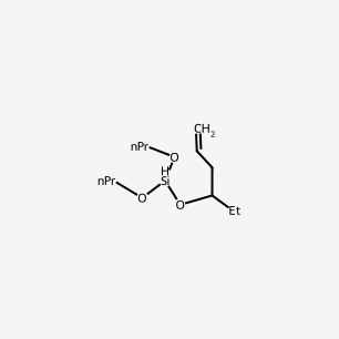 C=CCC(CC)O[SiH](OCCC)OCCC